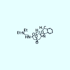 CCN(CC)CCNC(=O)CS(=O)(=O)Cc1nc(-c2ccccc2C)oc1C